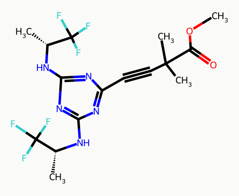 COC(=O)C(C)(C)C#Cc1nc(N[C@H](C)C(F)(F)F)nc(N[C@H](C)C(F)(F)F)n1